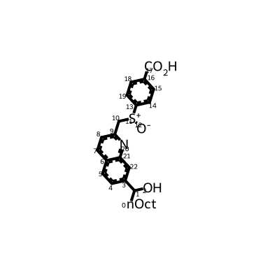 CCCCCCCCC(O)c1ccc2ccc(C[S+]([O-])c3ccc(C(=O)O)cc3)nc2c1